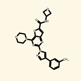 Cc1cccc(-c2cnn(-c3nc(N4CCOCC4)c4oc(C(=O)NC5COC5)cc4n3)c2)c1